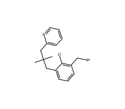 CC(C)Cc1cccc(CC(C)(C)Cc2ccccn2)c1Cl